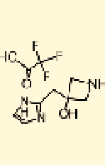 O=C(O)C(F)(F)F.OC1(Cc2ncc[nH]2)CNC1